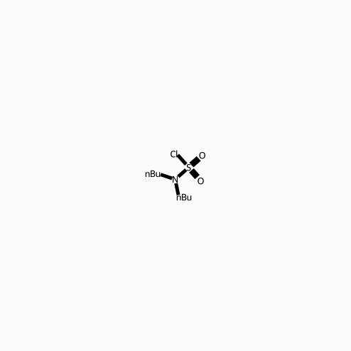 CCCCN(CCCC)S(=O)(=O)Cl